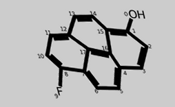 Oc1ccc2ccc3c(F)ccc4ccc1c2c43